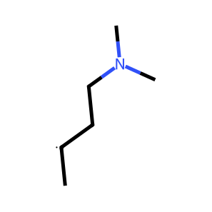 C[CH]CCN(C)C